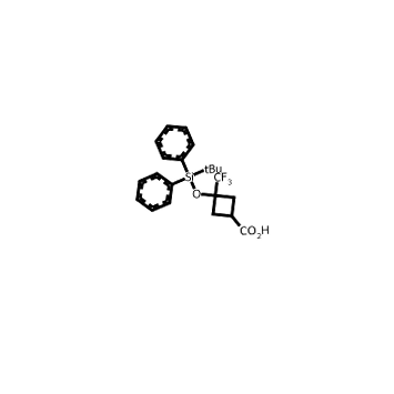 CC(C)(C)[Si](OC1(C(F)(F)F)CC(C(=O)O)C1)(c1ccccc1)c1ccccc1